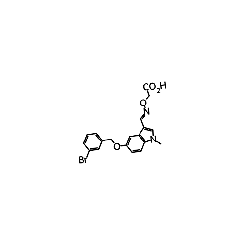 Cn1cc(C=NOCC(=O)O)c2cc(OCc3cccc(Br)c3)ccc21